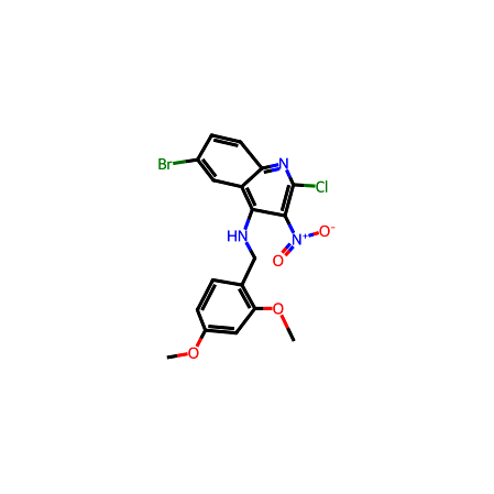 COc1ccc(CNc2c([N+](=O)[O-])c(Cl)nc3ccc(Br)cc23)c(OC)c1